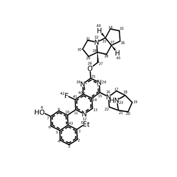 CCc1cccc2cc(O)cc(-c3ncc4c(N5CC6CCC(C5)N6)nc(OC[C@@]56CCCN5[C@@H]5CCC[C@@H]5C6)nc4c3F)c12